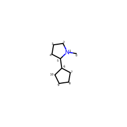 CN1CCCC1C1CCCC1